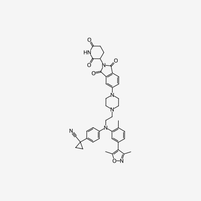 Cc1ccc(-c2c(C)noc2C)cc1N(CCN1CCN(c2ccc3c(c2)C(=O)N(C2CCC(=O)NC2=O)C3=O)CC1)c1ccc(C2(C#N)CC2)cc1